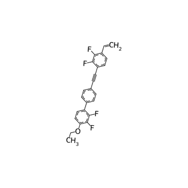 C=Cc1ccc(C#Cc2ccc(-c3ccc(OCC)c(F)c3F)cc2)c(F)c1F